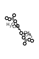 CC1(C)c2cc(/C=C/c3ccc4c(c3)C(C)(C)c3cc(B(c5ccccc5)c5ccc6ccccc6c5)ccc3-4)ccc2-c2ccc(B(c3ccccc3)c3ccc4ccccc4c3)cc21